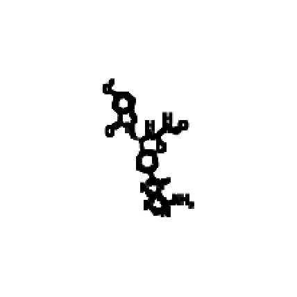 COc1ccc2c(c1)C(=O)N(C[C@H](NC(=O)NC=O)c1ccc(-c3nc4ncnc(N)c4n3C)cc1)C2